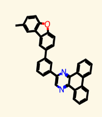 Cc1ccc2oc3ccc(-c4cccc(-c5cnc6c7ccccc7c7ccccc7c6n5)c4)cc3c2c1